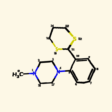 CN1CCN(c2ccccc2C2SCCCS2)CC1